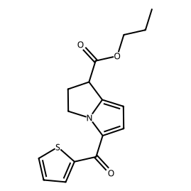 CCCOC(=O)C1CCn2c(C(=O)c3cccs3)ccc21